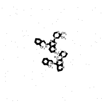 CC1(C)CN(c2nc(NCc3ccccc3C(F)(F)F)c3cccnc3n2)CCO1.CC1(C)COCCN1c1nc(NCc2ccccc2C(F)(F)F)c2cccnc2n1